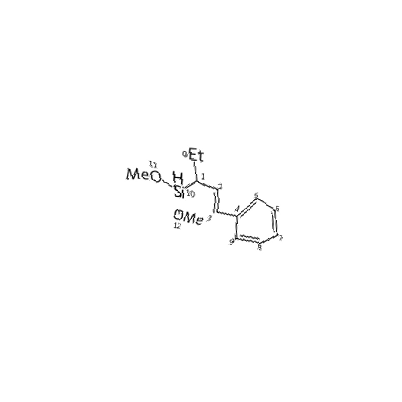 CCC(/C=C/c1ccccc1)[SiH](OC)OC